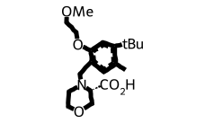 COCCOc1cc(C(C)(C)C)c(C)cc1CN1CCOC[C@H]1C(=O)O